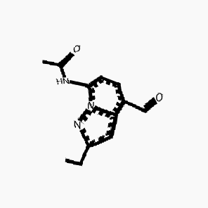 CCc1cc2c(C=O)ccc(NC(C)=O)n2n1